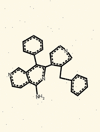 Nc1nc(-c2ccncc2Cc2ccccc2)c(-c2ccccc2)c2cnccc12